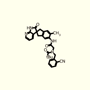 Cc1cc2c(cc1NC(=O)CN(Cc1ccccc1C#N)C(=O)C(C)(C)C)CC1(C2)C(=O)Nc2ncccc21